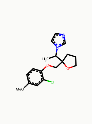 COc1ccc(OCC2(C(C)n3ccnc3)CCCO2)c(Cl)c1